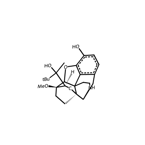 CO[C@]12CC[C@@]3(C[C@@H]1C(C)(O)C(C)(C)C)C1Cc4ccc(O)c5c4C3(CCN1)C2O5